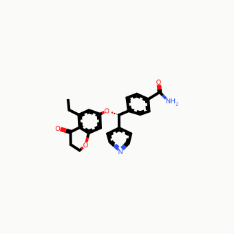 CCc1cc(O[C@@H](c2ccncc2)c2ccc(C(N)=O)cc2)cc2c1C(=O)CCO2